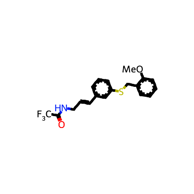 COc1ccccc1CSc1cccc(C=CCNC(=O)C(F)(F)F)c1